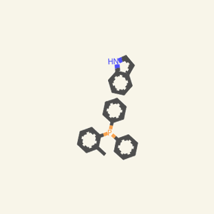 Cc1ccccc1P(c1ccccc1)c1ccccc1.c1ccc2[nH]ccc2c1